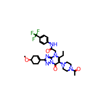 CCc1c(N2CCN(C(C)=O)CC2)c(=O)n2nc(C3=CCC(OC)CC3)nc2n1CC(=O)Nc1ccc(C(F)(F)F)cc1